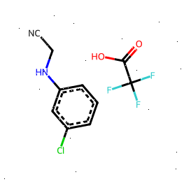 N#CCNc1cccc(Cl)c1.O=C(O)C(F)(F)F